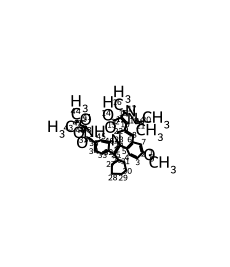 COc1ccc2c(c1)C=C(c1c(C(=O)O)c(C)nn1C(C)C)Cn1c-2c(C2CCCCC2)c2ccc(C(=O)NS(=O)(=O)C(C)C)cc21